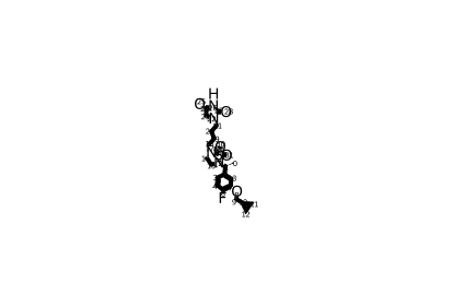 C[C@H](c1ccc(F)c(OCC2CC2)c1)N1CCN(CCCCN2CC(=O)NC2=O)S1(=O)=O